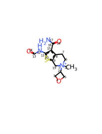 C[N+]1(C2COC2)CCc2c(sc(NC=O)c2C(N)=O)C1